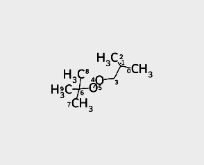 C[C](C)COOC(C)(C)C